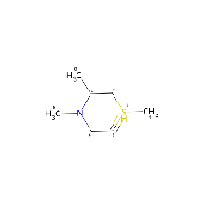 CC1C[SH](C)#CCN1C